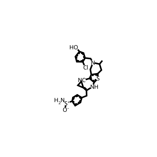 CC1Cc2sc(NC(Cc3ccc([S+](N)[O-])cc3)=C3CC3)c(C#N)c2CN1Cc1cc(O)ccc1Cl